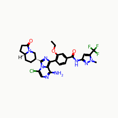 CCOc1cc(C(=O)Nc2cc(C(F)(F)F)n(C)n2)ccc1-c1nc([C@@H]2CC[C@H]3CCC(=O)N3C2)n2c(Cl)cnc(N)c12